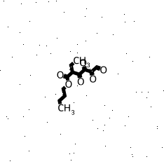 CCCCOC(=O)C(CC)C(=O)C(=O)C(=O)C=O